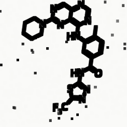 Cc1ccc(C(=O)Nc2nnc(C(F)(F)F)s2)cc1Nc1ncnc2cnc(N3CCCCC3)nc12